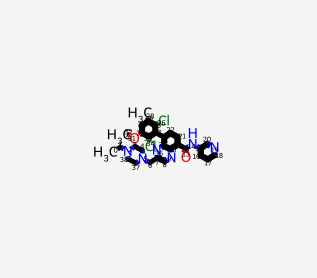 CCN1CCN(Cc2cnc3c(C(=O)Nc4cccnc4)ccc(-c4c(Cl)c(C)cc(OC)c4Cl)c3n2)CC1